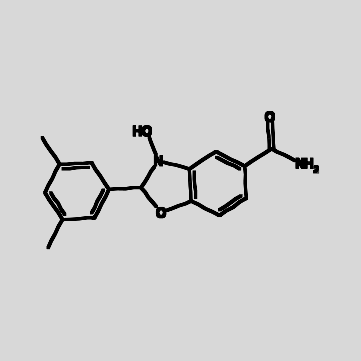 Cc1cc(C)cc(C2Oc3ccc(C(N)=O)cc3N2O)c1